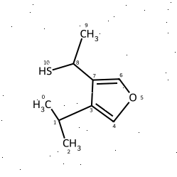 CC(C)c1cocc1C(C)S